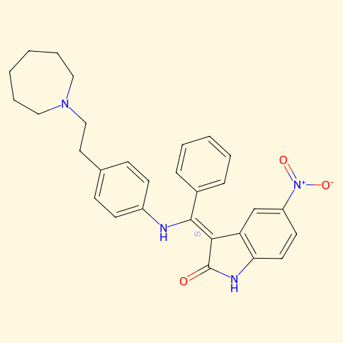 O=C1Nc2ccc([N+](=O)[O-])cc2/C1=C(/Nc1ccc(CCN2CCCCCC2)cc1)c1ccccc1